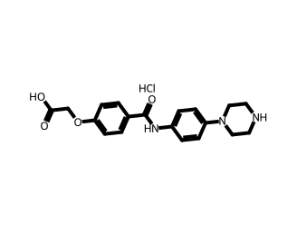 Cl.O=C(O)COc1ccc(C(=O)Nc2ccc(N3CCNCC3)cc2)cc1